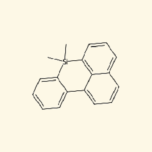 C[Si]1(C)c2ccccc2-c2cccc3cccc1c23